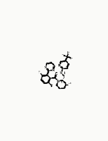 C[C@@H]1CCCN(C(=O)c2c(F)ccc(F)c2-c2ncccn2)[C@@H]1CNc1ccc(C(F)(F)F)cn1